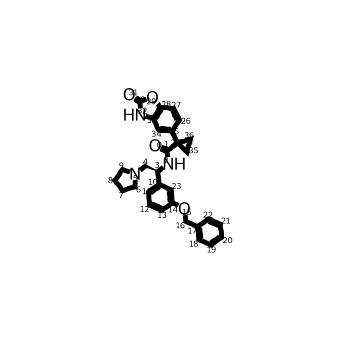 O=C(N[C@H](CN1CCCC1)c1cccc(OCc2ccccc2)c1)C1(c2ccc3oc(=O)[nH]c3c2)CC1